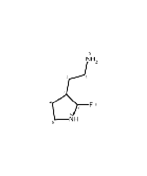 NCCC1CCNC1F